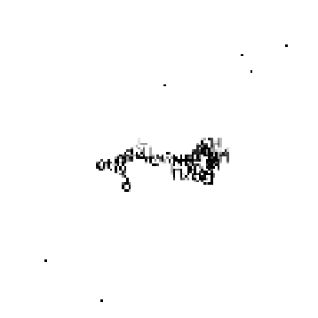 Cc1nc(Nc2ncc(C(=O)Nc3c(C)cccc3Cl)s2)cc(N2CCN(CCNCCOCCOCCNCC(O)COc3ccc(OCc4ccccc4)c(OCCCc4ccccc4)c3)CC2)n1